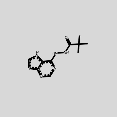 CC(C)(C)C(=O)NNc1ncnc2nc[nH]c12